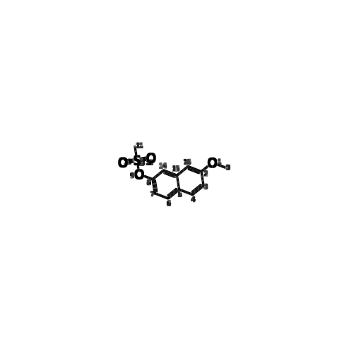 COc1ccc2ccc(OS(C)(=O)=O)cc2c1